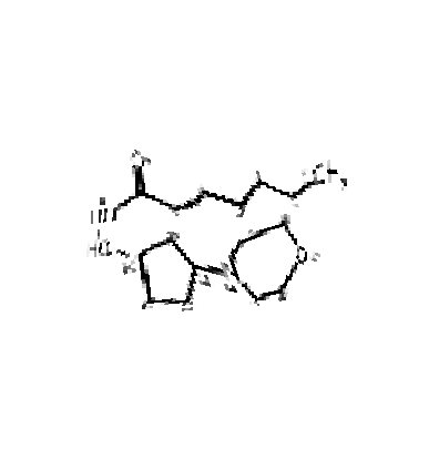 CCCCCCC(=O)O.O[C@H]1CC[C@H](N2CCOCC2)C1